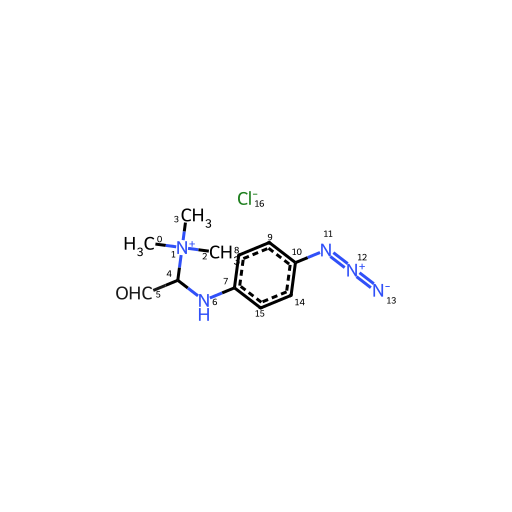 C[N+](C)(C)C(C=O)Nc1ccc(N=[N+]=[N-])cc1.[Cl-]